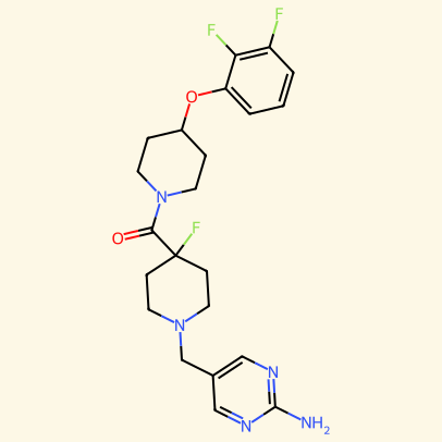 Nc1ncc(CN2CCC(F)(C(=O)N3CCC(Oc4cccc(F)c4F)CC3)CC2)cn1